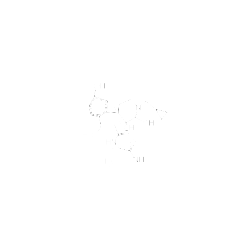 CCc1ccc(O)cc1[C@@]1(CC(=O)N[C@@H](C)C(N)=O)CCN(CC2CC2)C(C)[C@@H]1C